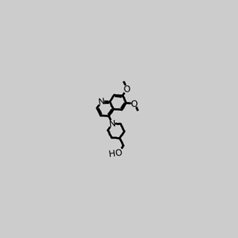 COc1cc2nccc(N3CCC(CO)CC3)c2cc1OC